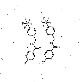 O=C(NCc1ccc(S(F)(F)(F)(F)F)cc1)c1ccc(Cl)cc1.O=C(NCc1ccc(S(F)(F)(F)(F)F)cc1)c1ccc(F)cc1